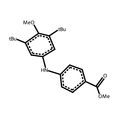 COC(=O)c1ccc(Nc2cc(C(C)(C)C)c(OC)c(C(C)(C)C)c2)cc1